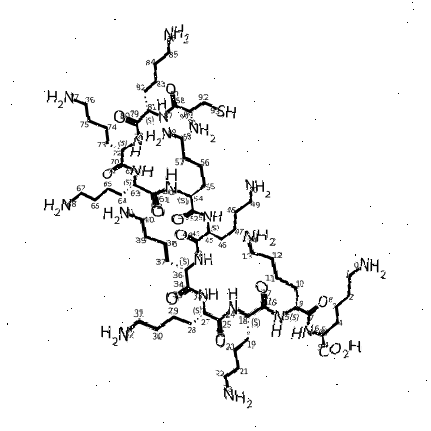 NCCCC[C@H](NC(=O)[C@H](CCCCN)NC(=O)[C@H](CCCCN)NC(=O)[C@H](CCCCN)NC(=O)[C@H](CCCCN)NC(=O)[C@H](CCCCN)NC(=O)[C@H](CCCCN)NC(=O)[C@H](CCCCN)NC(=O)[C@H](CCCCN)NC(=O)[C@H](CCCCN)NC(=O)[C@@H](N)CS)C(=O)O